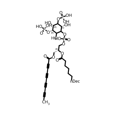 CC#CC#CC#CC#CC(=O)OC[C@H](COP(=O)(O)OC1C(O)[C@H](OP(=O)(O)O)[C@H](O)C(OP(=O)(O)O)[C@@H]1O)OC(=O)CCCCCCCCCCCCCCC